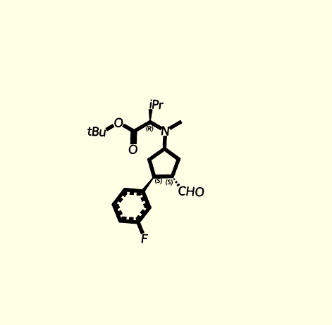 CC(C)[C@H](C(=O)OC(C)(C)C)N(C)C1C[C@H](c2cccc(F)c2)[C@@H](C=O)C1